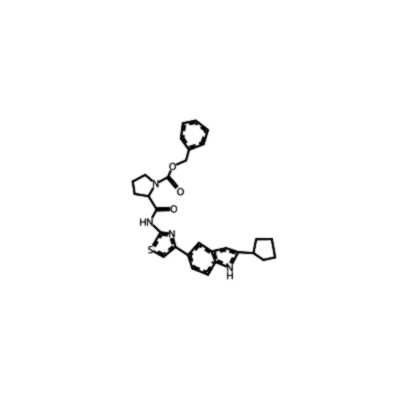 O=C(Nc1nc(-c2ccc3[nH]c(C4CCCC4)cc3c2)cs1)C1CCCN1C(=O)OCc1ccccc1